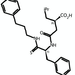 CC(C)C[C@H](CC(=O)N[C@@H](Cc1ccccc1)C(=S)NCCCc1ccccc1)C(=O)O